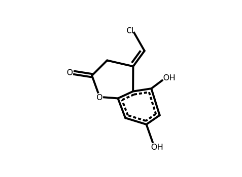 O=C1CC(=CCl)c2c(O)cc(O)cc2O1